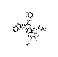 C=CCOC(=O)[C@@H](NC(=O)[C@H](CCC(=O)OC(C)(C)C)NC(=O)[C@H](CC1C=Nc2ccccc21)NC(=O)OCc1ccccc1)C(C)C